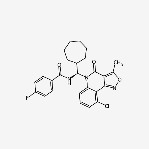 Cc1onc2c1c(=O)n([C@@H](NC(=O)c1ccc(F)cc1)C1CCCCCC1)c1cccc(Cl)c21